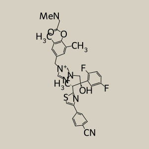 CNCC(=O)Oc1c(C)cc(C[n+]2cnn(C[C@](O)(c3cc(F)ccc3F)[C@@H](C)c3nc(-c4ccc(C#N)cc4)cs3)c2)cc1C